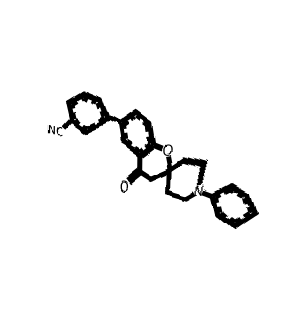 N#Cc1cccc(-c2ccc3c(c2)C(=O)CC2(CCN(c4ccccc4)CC2)O3)c1